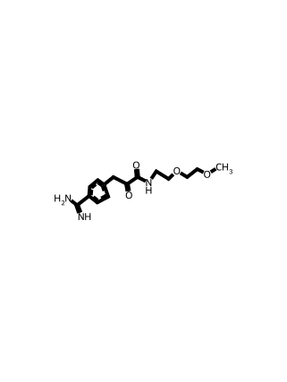 COCCOCCNC(=O)C(=O)Cc1ccc(C(=N)N)cc1